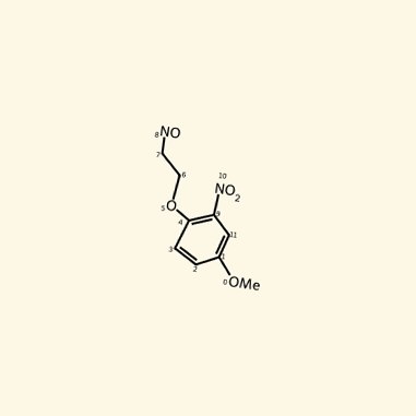 COc1ccc(OCCN=O)c([N+](=O)[O-])c1